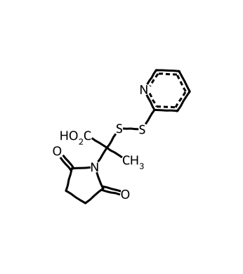 CC(SSc1ccccn1)(C(=O)O)N1C(=O)CCC1=O